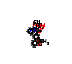 COC(=O)C(CC(=O)O)(Cc1ccccc1)NC(=O)c1ccc(-c2ccccc2S(C)(=O)=O)cc1